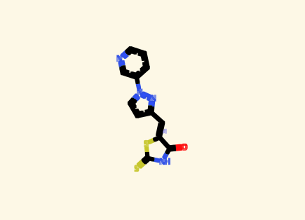 O=C1NC(=S)S/C1=C\c1ccn(-c2cccnc2)n1